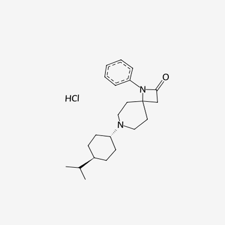 CC(C)[C@H]1CC[C@H](N2CCC3(CC2)CC(=O)N3c2ccccc2)CC1.Cl